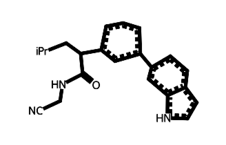 CC(C)CC(C(=O)NCC#N)c1cccc(-c2ccc3cc[nH]c3c2)c1